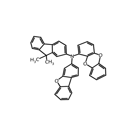 CC1(C)c2ccccc2-c2ccc(N(c3ccc4c(c3)oc3ccccc34)c3cccc4c3Oc3ccccc3O4)cc21